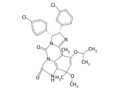 COC1(C)C=C(OC(C)C)C2(C)C3=N[C@@H](c4cccc(Cl)c4)[C@@H](c4ccc(Cl)cc4)N3C(=O)N3CC(=O)NC1=C32